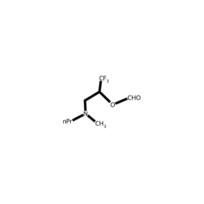 CCCN(C)CC(OC=O)C(F)(F)F